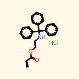 C=CC(=O)OCCNC(c1ccccc1)(c1ccccc1)c1ccccc1.Cl